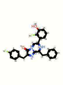 O=c1c(Cc2ccc(F)cc2)nc2c(Cc3ccccc3)[nH]c(-c3cccc(O)c3F)cn1-2